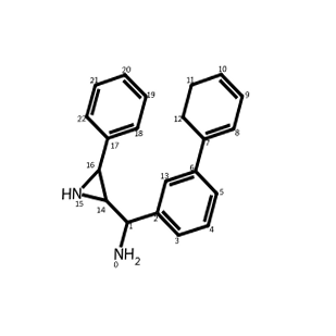 NC(c1cccc(C2=CC=CCC2)c1)C1NC1c1ccccc1